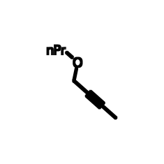 [CH2]CCOCC#CC